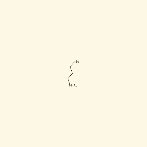 [CH2]C(=O)NCCCCCCC